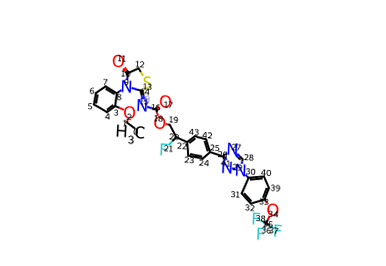 CCOc1ccccc1N1C(=O)CS/C1=N\C(=O)OCC(F)c1ccc(-c2ncn(-c3ccc(OC(F)(F)F)cc3)n2)cc1